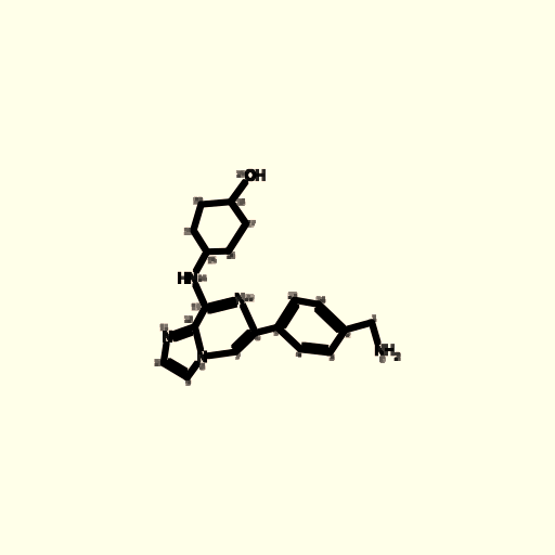 NCc1ccc(-c2cn3ccnc3c(NC3CCC(O)CC3)n2)cc1